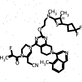 C=C(F)C(=O)N1CCN(c2nc(OCCN(C)C3SC(C4CC(F)(F)C4)[C@@H]3C)nc3c2CCN(c2cncc4cccc(C)c24)C3)C=C1CC#N